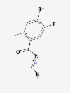 Cc1cc(Br)c(F)cc1C(=O)/N=C/N(C)C